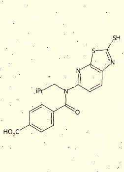 CC(C)CN(C(=O)c1ccc(C(=O)O)cc1)c1ccc2nc(S)sc2n1